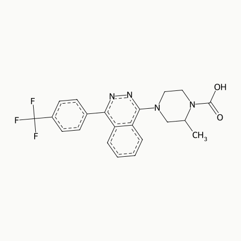 CC1CN(c2nnc(-c3ccc(C(F)(F)F)cc3)c3ccccc23)CCN1C(=O)O